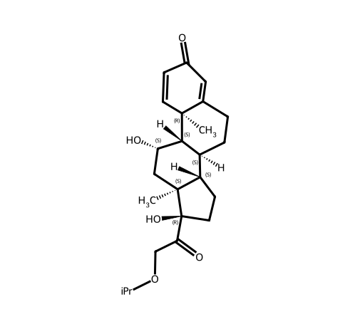 CC(C)OCC(=O)[C@@]1(O)CC[C@H]2[C@@H]3CCC4=CC(=O)C=C[C@]4(C)[C@H]3[C@@H](O)C[C@@]21C